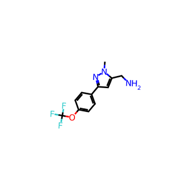 Cn1nc(-c2ccc(OC(F)(F)F)cc2)cc1CN